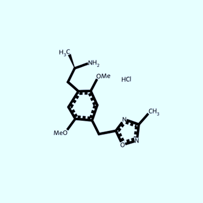 COc1cc(C[C@@H](C)N)c(OC)cc1Cc1nc(C)no1.Cl